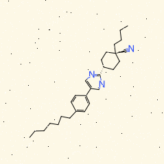 CCCCCCCc1ccc(-c2cnc([C@H]3CC[C@@](C#N)(CCCC)CC3)nc2)cc1